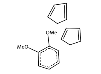 C1=CCC=C1.C1=CCC=C1.COc1ccccc1OC